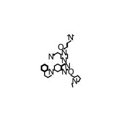 CCN1CCCC1COc1nc2c(c(N3CCN(C(=O)C=CCN(C)C)C(CC#N)C3)n1)CCC(N1CCCc3ccccc31)C2